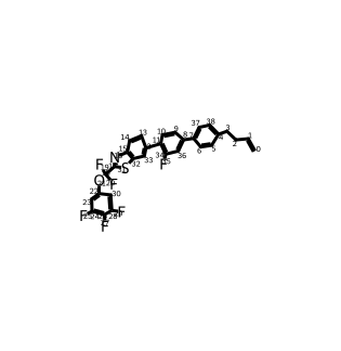 C=CCCc1ccc(-c2ccc(-c3ccc4nc(C(F)(F)Oc5cc(F)c(F)c(F)c5)sc4c3)c(F)c2)cc1